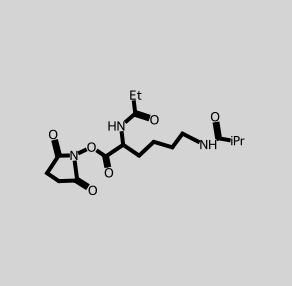 CCC(=O)NC(CCCCNC(=O)C(C)C)C(=O)ON1C(=O)CCC1=O